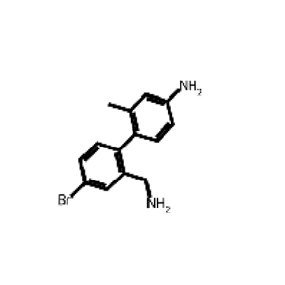 Cc1cc(N)ccc1-c1ccc(Br)cc1CN